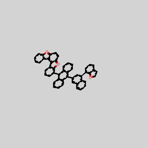 c1ccc2c(-c3cccc4ccoc34)cc(-c3c4ccccc4c(-c4cccc5c4oc4ccc6oc7ccccc7c6c45)c4ccccc34)cc2c1